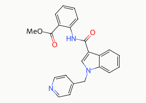 COC(=O)c1ccccc1NC(=O)c1cn(Cc2ccncc2)c2ccccc12